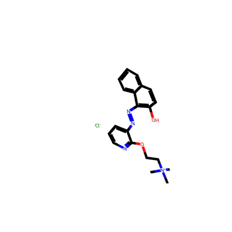 C[N+](C)(C)CCOc1ncccc1N=Nc1c(O)ccc2ccccc12.[Cl-]